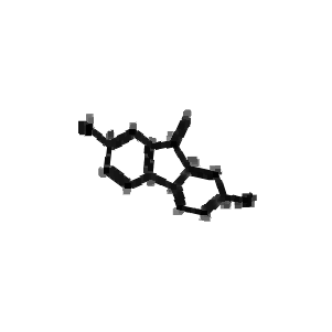 C=C1c2cc(Br)ccc2-c2ccc(Br)cc21